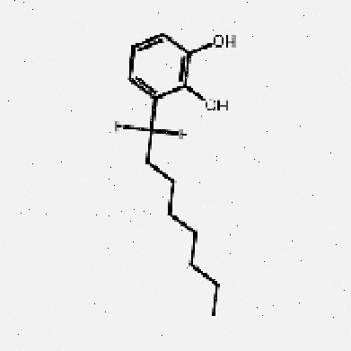 CCCCCCCC(F)(F)c1cccc(O)c1O